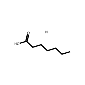 CCCCCCC(=O)O.[Ni]